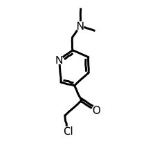 CN(C)Cc1ccc(C(=O)CCl)cn1